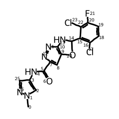 Cn1cc(NC(=O)c2cc3c(nn2)NC(c2c(Cl)ccc(F)c2Cl)O3)cn1